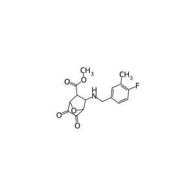 COC(=O)C1C2OC(C(=O)C2=O)C1NCc1ccc(F)c(C)c1